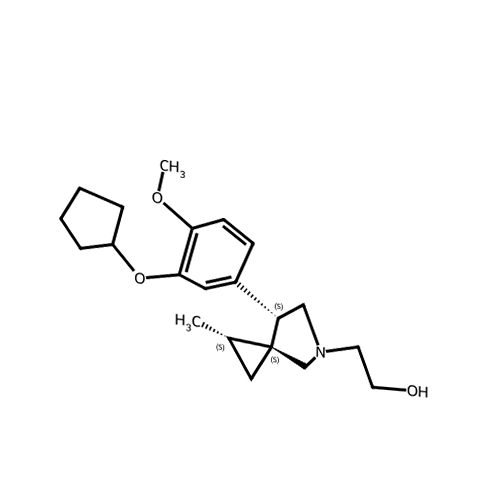 COc1ccc([C@@H]2CN(CCO)C[C@]23C[C@@H]3C)cc1OC1CCCC1